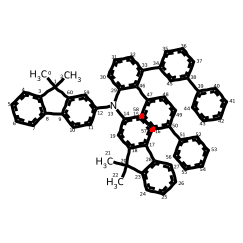 CC1(C)c2ccccc2-c2ccc(N(c3ccc4c(c3)C(C)(C)c3ccccc3-4)c3cccc(-c4cccc(-c5ccccc5)c4)c3-c3ccc(-c4ccccc4)cc3)cc21